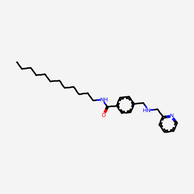 CCCCCCCCCCCCNC(=O)c1ccc(CNCc2ccccn2)cc1